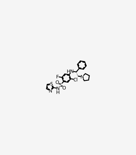 O=S(=O)(Nc1nccs1)c1cc(Cl)c(N[C@@H](CN2CCCC2)c2ccccc2)cc1F